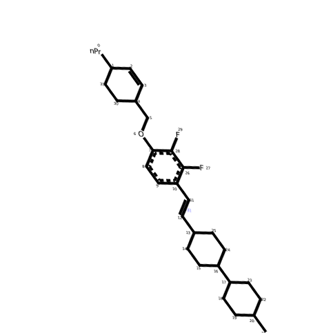 CCCC1C=CC(COc2ccc(/C=C/C3CCC(C4CCC(C)CC4)CC3)c(F)c2F)CC1